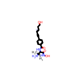 CC(C)(N)C(NC(=O)c1ccc(C#C/C=C/CCO)cc1)C(=O)NO